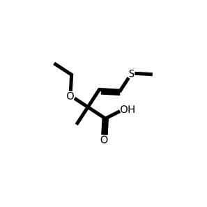 CCOC(C)(C=CSC)C(=O)O